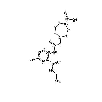 CCNC(=O)c1cc(F)ccc1NC(=O)CC1CCCN(C(=O)O)CC1